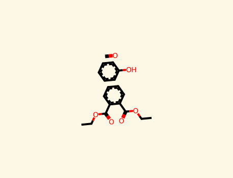 C=O.CCOC(=O)c1ccccc1C(=O)OCC.Oc1ccccc1